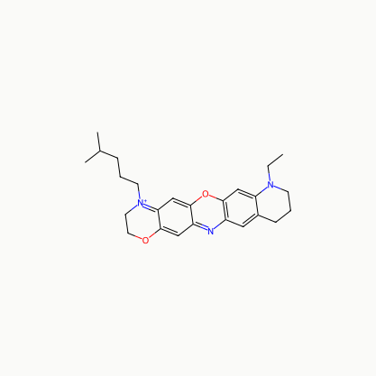 CCN1CCCc2cc3c(cc21)Oc1cc2c(cc1=N3)OCC[N+]=2CCCC(C)C